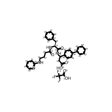 O=C(O)C(F)(F)F.O=C(O)CC(NC(=O)[C@H](Cc1ccccc1)NC(=O)CCCNc1ccccn1)c1ccc(-c2ccccc2)cc1